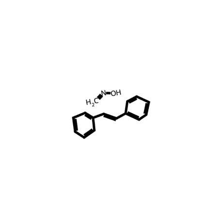 C(=Cc1ccccc1)c1ccccc1.C=NO